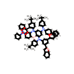 CC(C)(C)c1ccc(N(c2ccc(C(C)(C)C)cc2)c2cc3c4c(c2)N(c2ccc(C(C)(C)C)cc2-c2ccccc2)c2cc(N(c5ccccc5)c5ccccc5)ccc2B4c2cc(C(C)(C)C)ccc2N3c2cc(-c3cc4ccccc4o3)cc(-c3cc4ccccc4o3)c2)cc1